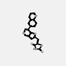 O=C1NC(=O)/C(=C\c2cc3cncc(-c4ccc5ncccc5c4)c3o2)S1